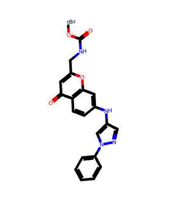 CC(C)(C)OC(=O)NCc1cc(=O)c2ccc(Nc3cnn(-c4ccccc4)c3)cc2o1